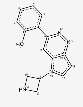 Oc1ccccc1-c1cc2c(ccn2C2CNC2)nn1